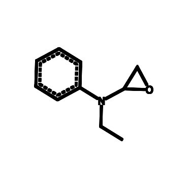 CCN(c1ccccc1)C1CO1